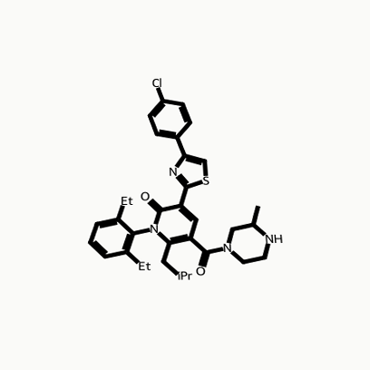 CCc1cccc(CC)c1-n1c(CC(C)C)c(C(=O)N2CCNC(C)C2)cc(-c2nc(-c3ccc(Cl)cc3)cs2)c1=O